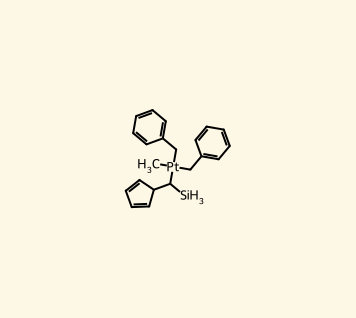 [CH3][Pt]([CH2]c1ccccc1)([CH2]c1ccccc1)[CH]([SiH3])C1C=CC=C1